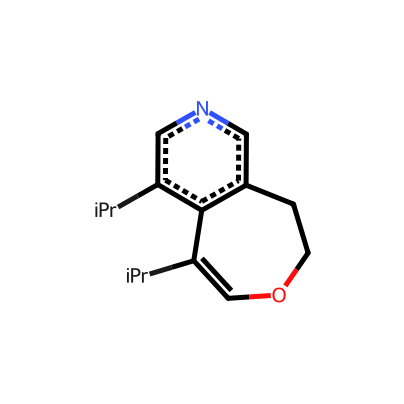 CC(C)C1=COCCc2cncc(C(C)C)c21